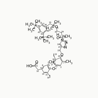 Cc1cc(Oc2c(C)cc(CC(=O)O)cc2I)cc(I)c1OCc1cn(C(C)(C)CCOC(C)(C)Cc2cc(C(C)(C)C)cc(C(C)(C)C)c2)nn1